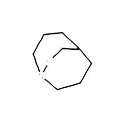 [CH]1CCC2CCCN1CC2